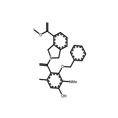 C=C(OI)c1cccc2c1CN(C(=C)c1c(C)cc(O)c(NC)c1OCc1ccccc1)C2